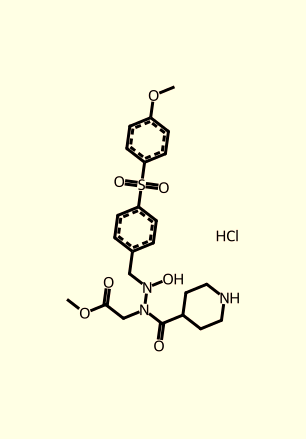 COC(=O)CN(C(=O)C1CCNCC1)N(O)Cc1ccc(S(=O)(=O)c2ccc(OC)cc2)cc1.Cl